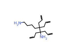 C=CCC(N)(CC=C)C(CC=C)(CC=C)CCCCN